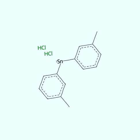 Cc1ccc[c]([Sn][c]2cccc(C)c2)c1.Cl.Cl